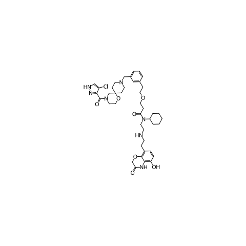 O=C1COc2c(CCNCCN(C(=O)CCOCCc3cccc(CN4CCC5(CC4)CN(C(=O)c4n[nH]cc4Cl)CCO5)c3)C3CCCCC3)ccc(O)c2N1